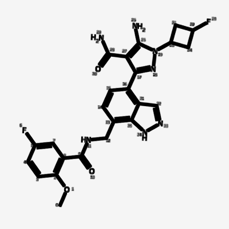 COc1ccc(F)cc1C(=O)NCc1ccc(-c2nn(C3CC(F)C3)c(N)c2C(N)=O)c2cn[nH]c12